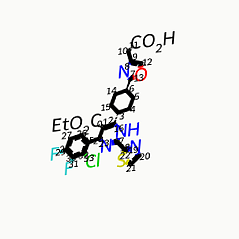 CCOC(=O)C1=C([C@H]2CC[C@H](c3nc(CC(=O)O)co3)CC2)NC(c2nccs2)=NC1c1ccc(F)c(F)c1Cl